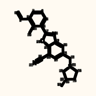 C=Cc1cccc(-c2nc3cc(CN4CC[C@@H](C)C4)cc(C#N)c3o2)c1C